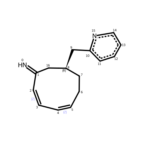 N=C1/C=C\C=C/CC[C@H](Cc2ccccn2)C1